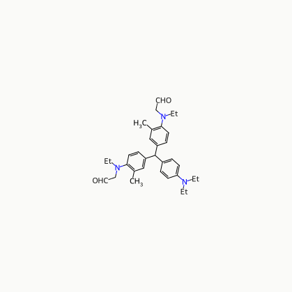 CCN(CC)c1ccc(C(c2ccc(N(CC)CC=O)c(C)c2)c2ccc(N(CC)CC=O)c(C)c2)cc1